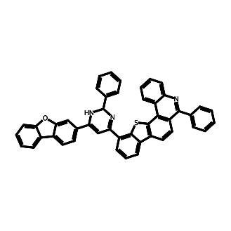 C1=C(c2ccc3c(c2)oc2ccccc23)NC(c2ccccc2)N=C1c1cccc2c1sc1c2ccc2c(-c3ccccc3)nc3ccccc3c21